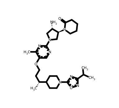 Cc1nc(N2C[C@H](N)[C@@H](N3CCCCC3=O)C2)ncc1OCC[C@@H](C)C1CCN(c2nc(C(C)C)no2)CC1